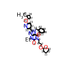 CCn1c(=O)n(CCCOC2CCCCO2)c(=O)c2c1nc(-c1ccc(OC3CCC3C)nc1)n2Cc1ccccc1